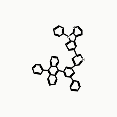 c1ccc(-c2cc(-c3cncc(-c4ccc5c(c4)c4cccnc4n5-c4ccccc4)c3)cc(-c3c4ccccc4c(-c4ccccc4)c4ccccc34)c2)cc1